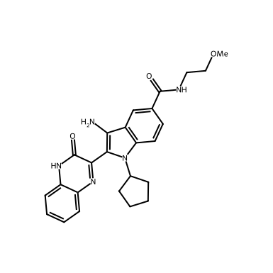 COCCNC(=O)c1ccc2c(c1)c(N)c(-c1nc3ccccc3[nH]c1=O)n2C1CCCC1